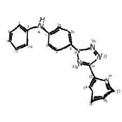 c1ccc(Nc2ccc(-n3nnc(-c4ccccn4)n3)cc2)cc1